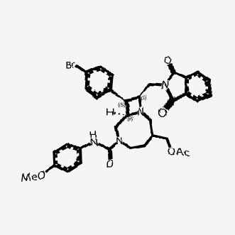 COc1ccc(NC(=O)N2CCC(COC(C)=O)CN3[C@H](CN4C(=O)c5ccccc5C4=O)[C@H](c4ccc(Br)cc4)[C@@H]3C2)cc1